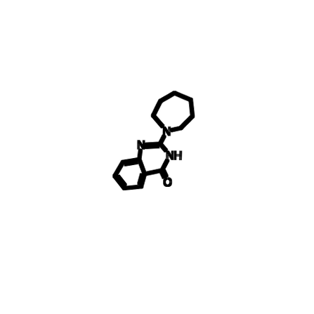 O=c1[nH]c(N2CCCCCC2)nc2ccccc12